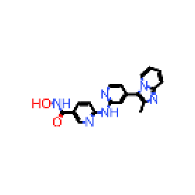 Cc1nc2ccccn2c1-c1ccnc(Nc2ccc(C(=O)NO)cn2)c1